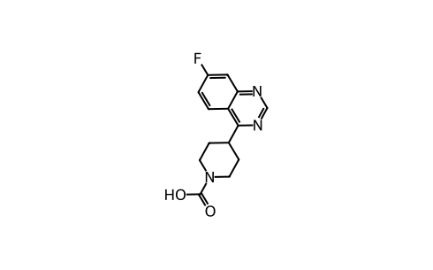 O=C(O)N1CCC(c2ncnc3cc(F)ccc23)CC1